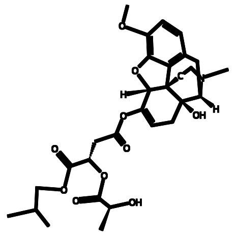 COc1ccc2c3c1O[C@H]1C(OC(=O)C[C@H](OC(=O)[C@H](C)O)C(=O)OCC(C)C)=CC[C@@]4(O)[C@@H](C2)N(C)CC[C@]314